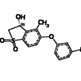 Cc1c(Oc2cccc(F)c2)ccc2c1[C@@H](O)CS2(=O)=O